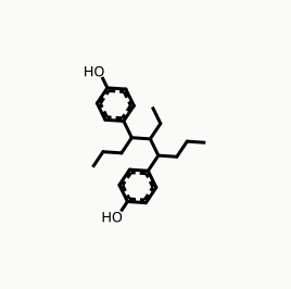 CCCC(c1ccc(O)cc1)C(CC)C(CCC)c1ccc(O)cc1